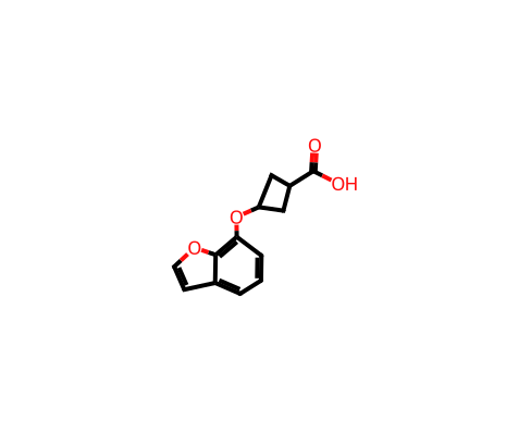 O=C(O)C1CC(Oc2cccc3ccoc23)C1